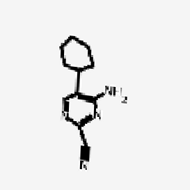 N#Cc1ncc(C2CCCCC2)c(N)n1